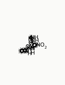 O=C(Nc1nc2c(C(=O)Nc3ncc[nH]3)cc([N+](=O)[O-])cc2[nH]1)c1cc2ccccc2cn1